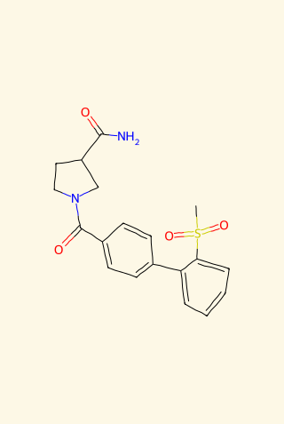 CS(=O)(=O)c1ccccc1-c1ccc(C(=O)N2CCC(C(N)=O)C2)cc1